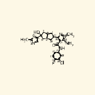 Cc1ncc(C2(O)CC3CC(c4nn(C)c(N)c4C(=O)Nc4ccc(F)c(Cl)c4)CC3C2)s1